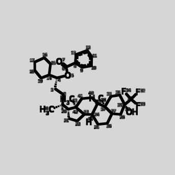 C[C@H](CC[C@@H](OC(=O)c1ccccc1)C1CCCCC1)[C@H]1CCC2[C@@H]3CCC4C[C@](O)(C(F)(F)F)CC[C@]4(C)C3CC[C@@]21C